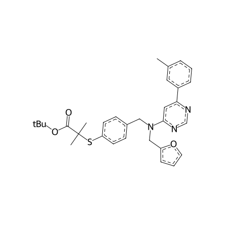 Cc1cccc(-c2cc(N(Cc3ccc(SC(C)(C)C(=O)OC(C)(C)C)cc3)Cc3ccco3)ncn2)c1